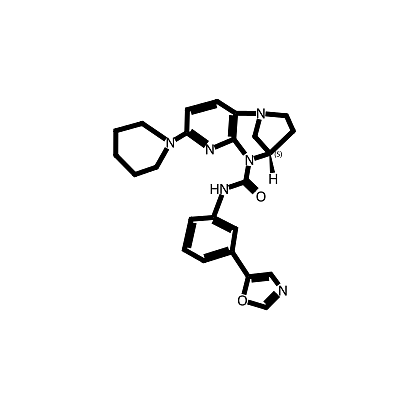 O=C(Nc1cccc(-c2cnco2)c1)N1c2nc(N3CCCCC3)ccc2N2CC[C@H]1C2